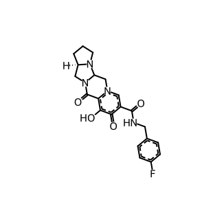 O=C(NCc1ccc(F)cc1)c1cn2c(c(O)c1=O)C(=O)N1C[C@H]3CCCN3C1C2